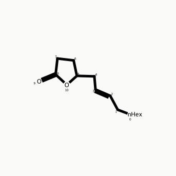 CCCCCCCC=CCC1CCC(=O)O1